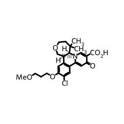 COCCCOc1cc2c(cc1Cl)-c1cc(=O)c(C(=O)O)cn1[C@H]1[C@@H]2COCCC1(C)C